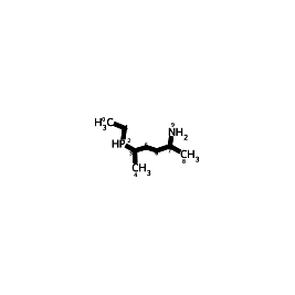 CCPC(C)CCC(C)N